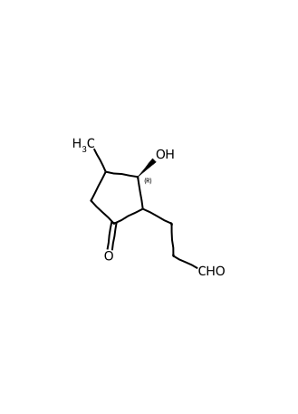 CC1CC(=O)C(CCC=O)[C@@H]1O